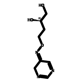 OC[C@@H](O)CCON=C1C=NC=NC1